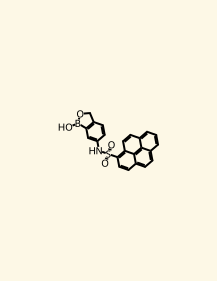 O=S(=O)(Nc1ccc2c(c1)B(O)OC2)c1ccc2ccc3cccc4ccc1c2c34